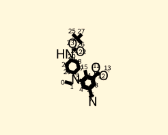 CCN(c1cc(C#N)cc(C(=O)OC)c1C)C1CCC(NC(=O)OC(C)(C)C)CC1